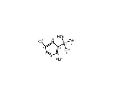 O[B-](O)(O)c1cccc(Cl)n1.[Li+]